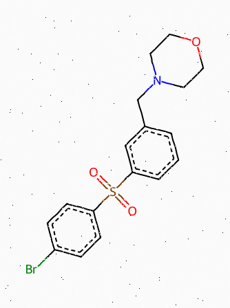 O=S(=O)(c1ccc(Br)cc1)c1cccc(CN2CCOCC2)c1